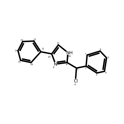 ClC(c1ccccc1)c1nc(-c2ccccc2)c[nH]1